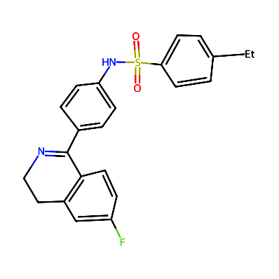 CCc1ccc(S(=O)(=O)Nc2ccc(C3=NCCc4cc(F)ccc43)cc2)cc1